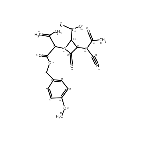 C=C(C)C(C(=O)OCc1ccc(OC)cc1)N1C(=O)C(N(C#N)C(C)=O)C1[S+]([O-])Cl